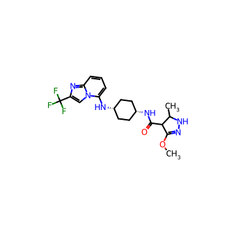 COC1=NNC(C)C1C(=O)N[C@H]1CC[C@@H](Nc2cccc3nc(C(F)(F)F)cn23)CC1